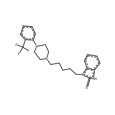 O=c1[nH]c2ccccc2n1CCCCCN1CCN(c2ccccc2C(F)(F)F)CC1